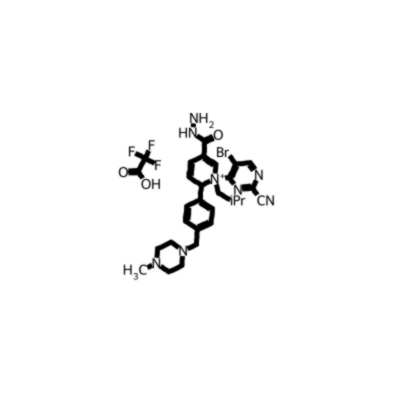 CC(C)C[N+]1(c2nc(C#N)ncc2Br)C=C(C(=O)NN)C=CC1c1ccc(CN2CCN(C)CC2)cc1.O=C(O)C(F)(F)F